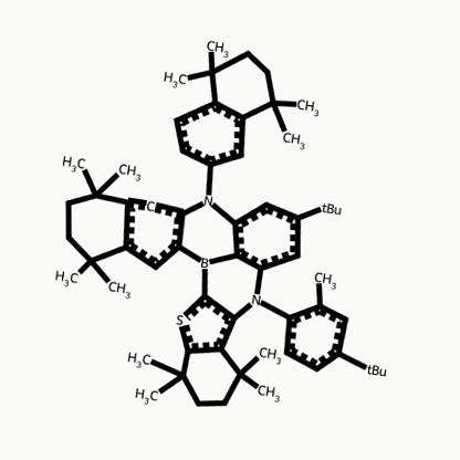 Cc1cc(C(C)(C)C)ccc1N1c2cc(C(C)(C)C)cc3c2B(c2cc4c(cc2N3c2ccc3c(c2)C(C)(C)CCC3(C)C)C(C)(C)CCC4(C)C)c2sc3c(c21)C(C)(C)CCC3(C)C